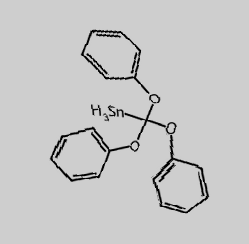 [SnH3][C](Oc1ccccc1)(Oc1ccccc1)Oc1ccccc1